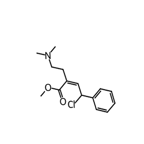 COC(=O)C(=CC(Cl)c1ccccc1)CCN(C)C